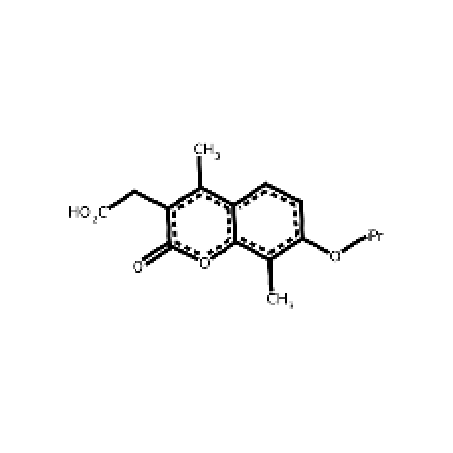 Cc1c(CC(=O)O)c(=O)oc2c(C)c(OC(C)C)ccc12